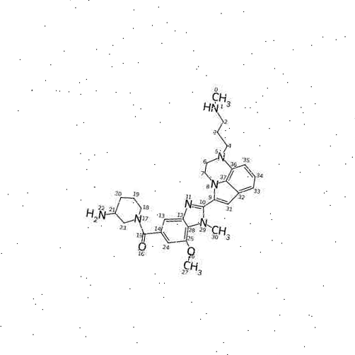 CNCCCN1CCn2c(-c3nc4cc(C(=O)N5CCCC(N)C5)cc(OC)c4n3C)cc3cccc1c32